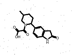 CC1CCC(c2ccc3c(c2)CC(=O)N3)N(C(=O)C(=O)O)C1